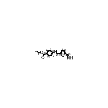 CCOC(=O)c1ccc(N=Cc2ccc(C=N)o2)cc1